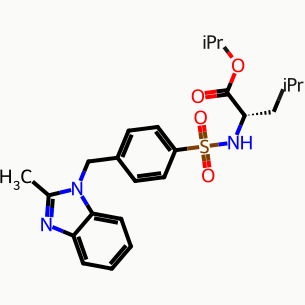 Cc1nc2ccccc2n1Cc1ccc(S(=O)(=O)N[C@@H](CC(C)C)C(=O)OC(C)C)cc1